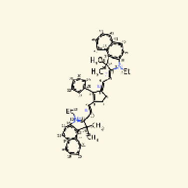 CCN1/C(=C/C=C2\CCC(/C=C/C3=[N+](CC)c4ccc5ccccc5c4C3(C)C)=C2c2ccccc2)C(C)(C)c2c1ccc1ccccc21